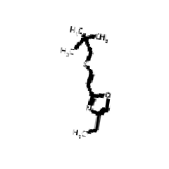 CCc1coc(C=CSCC(C)(C)C)n1